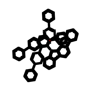 C1=CC(c2ccccc2)CC=C1c1cccc(-c2ccccc2)c1-n1c2ccccc2c2ccc3c4ccccc4n(C4N=C(c5ccccc5)N=C(c5ccc(-c6ccccc6)cc5)N4)c3c21